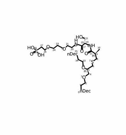 CCCCCCCCCCCCOC[C@H](CSC[C@H](C)C(=O)N[C@@H](CO)C(=O)NCCOCCOCCP(=O)(O)O)OCCCCCCCCCCCC